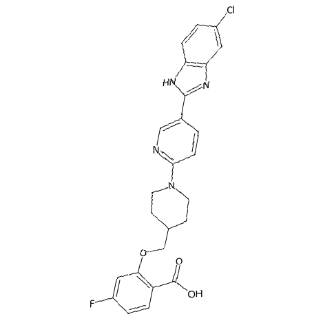 O=C(O)c1ccc(F)cc1OCC1CCN(c2ccc(-c3nc4cc(Cl)ccc4[nH]3)cn2)CC1